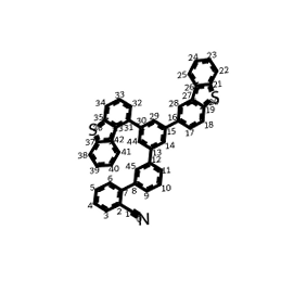 N#Cc1ccccc1-c1cccc(-c2cc(-c3ccc4sc5ccccc5c4c3)cc(-c3cccc4sc5ccccc5c34)c2)c1